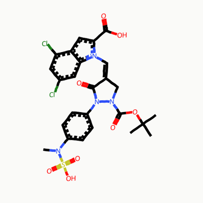 CN(c1ccc(N2C(=O)C(=Cn3c(C(=O)O)cc4c(Cl)cc(Cl)cc43)CN2C(=O)OC(C)(C)C)cc1)S(=O)(=O)O